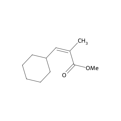 COC(=O)C(C)=CC1CCCCC1